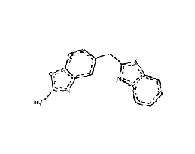 Cc1nc2cc(Cc3nc4ccccc4s3)ccc2o1